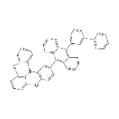 c1ccc(-c2cccc(-c3c4ccccc4c(-c4ccc5c(c4)B4c6ccccc6Oc6cccc(c64)O5)c4ccccc34)c2)cc1